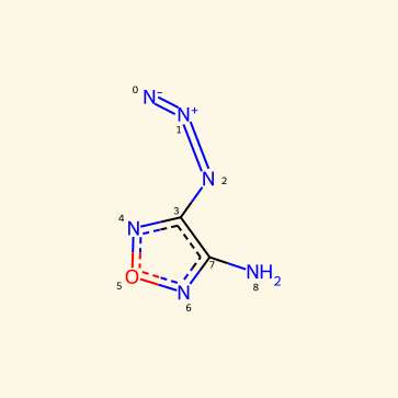 [N-]=[N+]=Nc1nonc1N